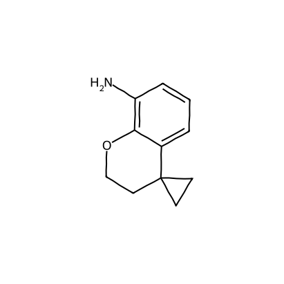 Nc1cccc2c1OCCC21CC1